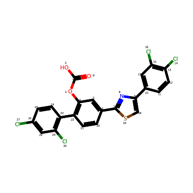 O=C(O)Oc1cc(-c2nc(-c3ccc(Cl)c(Cl)c3)cs2)ccc1-c1ccc(Cl)cc1Cl